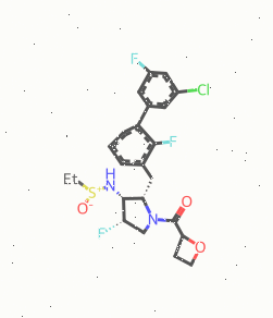 CC[S+]([O-])N[C@H]1[C@@H](F)CN(C(=O)C2CCO2)[C@H]1Cc1cccc(-c2cc(F)cc(Cl)c2)c1F